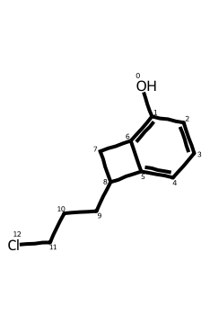 Oc1cccc2c1CC2CCCCl